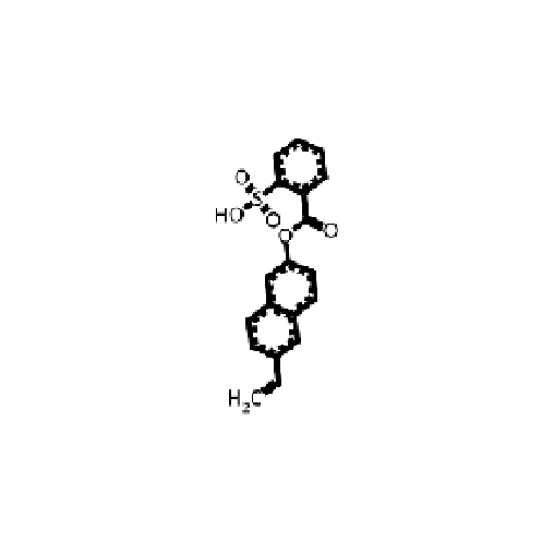 C=Cc1ccc2cc(OC(=O)c3ccccc3S(=O)(=O)O)ccc2c1